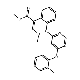 CO/C=C(/C(=O)OC)c1ccccc1Oc1cc(Oc2ccccc2C)ncn1